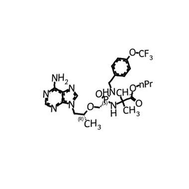 CCCOC(=O)C(C)(C)N[P@](=O)(CO[C@H](C)Cn1cnc2c(N)ncnc21)NCc1ccc(OC(F)(F)F)cc1